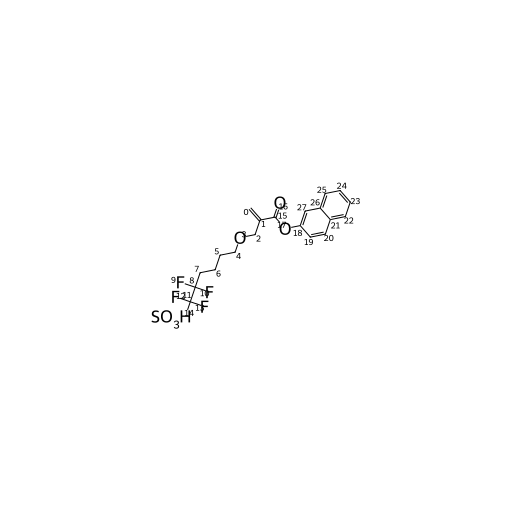 C=C(COCCCCC(F)(F)C(F)(F)S(=O)(=O)O)C(=O)Oc1ccc2ccccc2c1